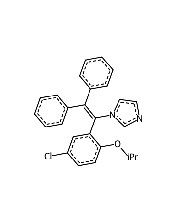 CC(C)Oc1ccc(Cl)cc1C(=C(c1ccccc1)c1ccccc1)n1ccnc1